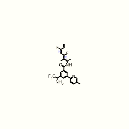 C=C/C(F)=C\C(F)=C(/C)[C@@H](C)NC(=O)c1cc(-c2ccc(C)cn2)cc(C(N)C(F)(F)F)c1